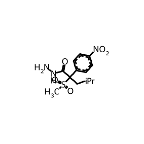 CC(C)CC(C(=O)NN)(c1ccc([N+](=O)[O-])cc1)S(C)(=O)=O